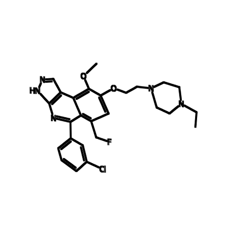 CCN1CCN(CCOc2cc(CF)c3c(-c4cccc(Cl)c4)nc4[nH]ncc4c3c2OC)CC1